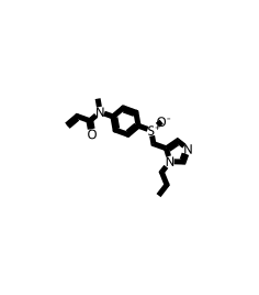 C=CC(=O)N(C)c1ccc([S+]([O-])Cc2cncn2CCC)cc1